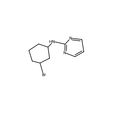 BrC1CCCC(Nc2ncccn2)C1